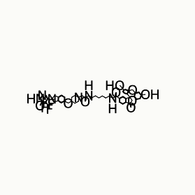 O=C(CN1CCC(Oc2ccc3c(c2)CN(c2cn[nH]c(=O)c2C(F)(F)F)C3)CC1)NCCCCCCNC(=O)c1ccc2c(c1)C1(OC2=O)c2ccc(O)cc2Oc2cc(O)ccc21